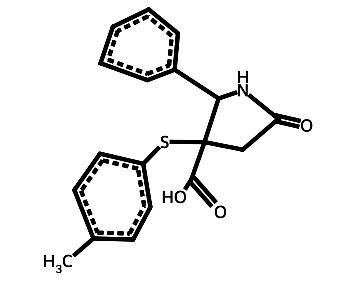 Cc1ccc(SC2(C(=O)O)CC(=O)NC2c2ccccc2)cc1